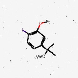 CCOc1cc(C(C)(C)OC)ccc1I